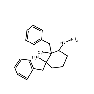 NNC1CCCC(N)(Cc2ccccc2)C1(Cc1ccccc1)[N+](=O)[O-]